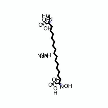 O=P(O)(O)/C(CCCCCCCCCCCCCCC/C(=N\O)P(=O)(O)O)=N\O.[NaH].[NaH]